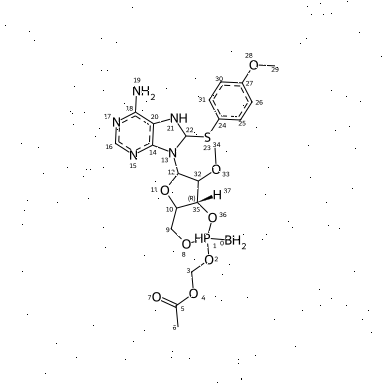 B[PH]1(OCOC(C)=O)OCC2OC(N3c4ncnc(N)c4NC3Sc3ccc(OC)cc3)C(OC)[C@@H]2O1